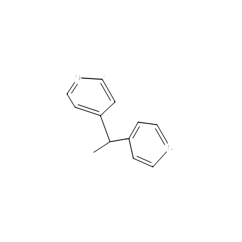 [CH2]C(c1ccncc1)c1ccncc1